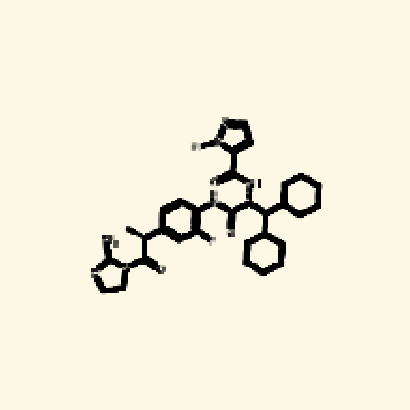 CC(C)n1nccc1C(=O)N[C@H](C(=O)Nc1ccc([C@H](C)C(=O)N2CCOC2C(F)(F)F)cc1F)C(C1CCCCC1)C1CCCCC1